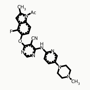 CC(=O)n1c(C)cc2c(F)c(Oc3ncnc(Nc4ccc(N5CCN(C)CC5)cn4)c3C#N)ccc21